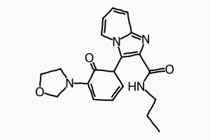 CCCNC(=O)c1nc2ccccn2c1C1C=CC=C(N2CCOC2)C1=O